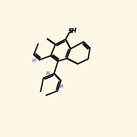 C/C=C\C(=C/C)c1c(/C=C\C)c(C)c(S)c2c1CCC=C2